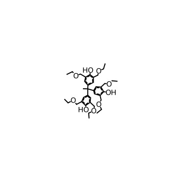 CCOCc1cc(C(C)(c2cc(COCC)c(O)c(COCC)c2)c2cc(COCC)c(O)c(COCC)c2)cc(COCC)c1O